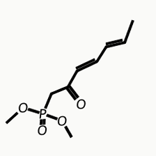 C/C=C/C=C/C(=O)CP(=O)(OC)OC